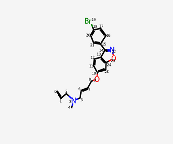 C=CCN(C)CC=CCOc1ccc2c(-c3ccc(Br)cc3)noc2c1